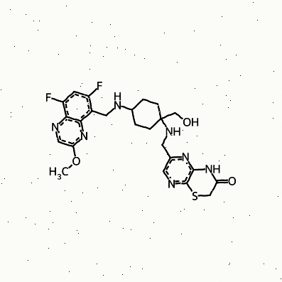 COc1cnc2c(F)cc(F)c(CNC3CCC(CO)(NCc4cnc5c(n4)NC(=O)CS5)CC3)c2n1